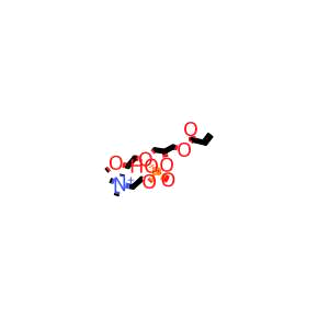 C=CC(=O)OCC(COCCOC)OP(=O)(O)OCC[N+](C)(C)C